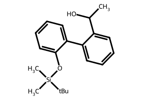 CC(O)c1ccccc1-c1ccccc1O[Si](C)(C)C(C)(C)C